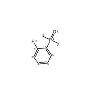 CP(C)(=O)c1ccccc1F